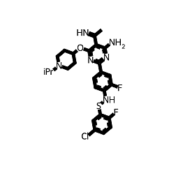 CC(=N)c1c(N)nc(-c2ccc(NSc3cc(Cl)ccc3F)c(F)c2)nc1OC1CCN(C(C)C)CC1